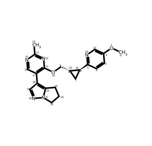 COc1ccc([C@H]2C[C@@H]2COc2nc(C)ncc2-c2cnn3c2CCC3)nc1